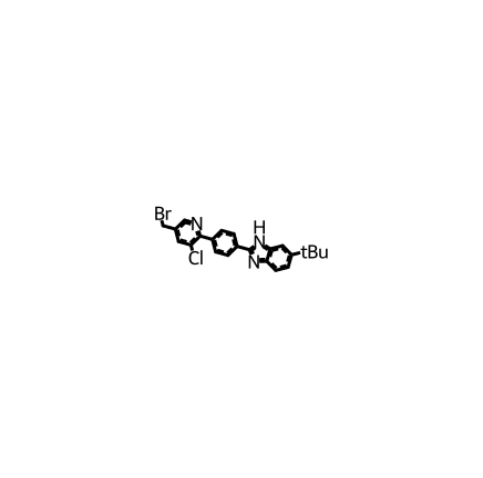 CC(C)(C)c1ccc2nc(-c3ccc(-c4ncc(CBr)cc4Cl)cc3)[nH]c2c1